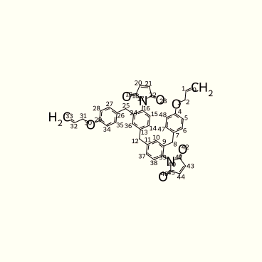 C=CCOc1ccc(Cc2cc(Cc3ccc(N4C(=O)C=CC4=O)c(Cc4ccc(OCC=C)cc4)c3)ccc2N2C(=O)C=CC2=O)cc1